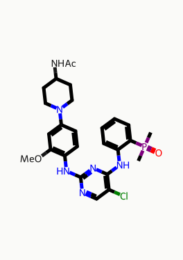 COc1cc(N2CCC(NC(C)=O)CC2)ccc1Nc1ncc(Cl)c(Nc2ccccc2P(C)(C)=O)n1